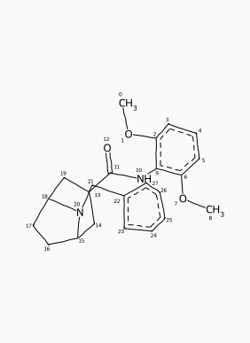 COc1cccc(OC)c1NC(=O)C1CC2CCC(C1)N2Cc1ccccc1